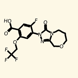 O=C(O)c1cc(F)c(-n2nc3n(c2=O)CCCOC3)cc1OCC(F)(F)F